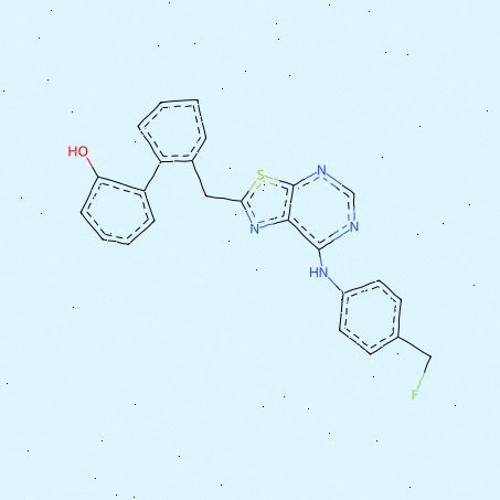 Oc1ccccc1-c1ccccc1Cc1nc2c(Nc3ccc(CF)cc3)ncnc2s1